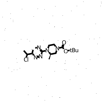 C/N=C(\N=N/C(C)C(C)Cl)N1CCN(C(=O)OC(C)(C)C)C[C@H]1C